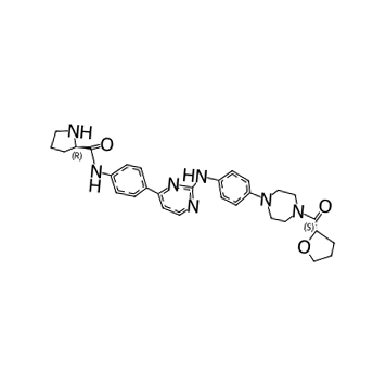 O=C(Nc1ccc(-c2ccnc(Nc3ccc(N4CCN(C(=O)[C@@H]5CCCO5)CC4)cc3)n2)cc1)[C@H]1CCCN1